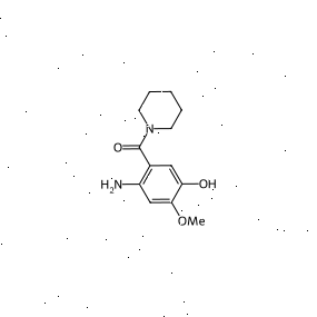 COc1cc(N)c(C(=O)N2CCCCC2)cc1O